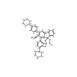 CCCC1(CCC)c2ccccc2-c2cc(-c3ccc(C4CCCCC4)cc3)c(N)c(-c3ccc(C4CCCCC4)cc3)c21